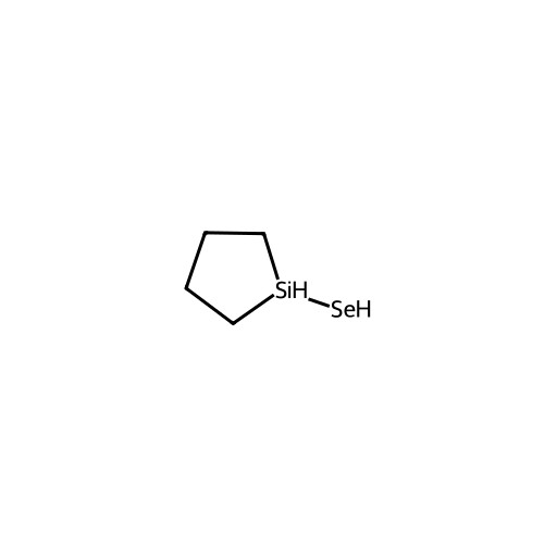 [SeH][SiH]1CCCC1